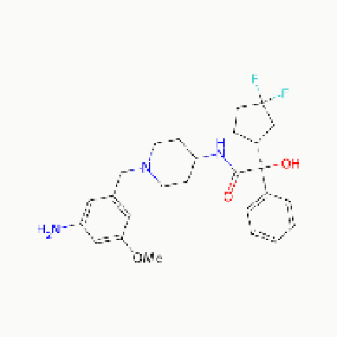 COc1cc(N)cc(CN2CCC(NC(=O)C(O)(c3ccccc3)[C@@H]3CCC(F)(F)C3)CC2)c1